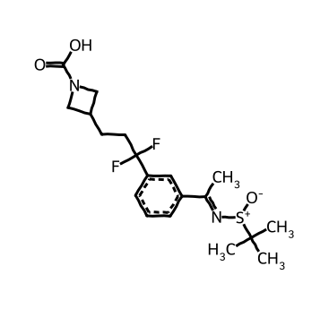 C/C(=N\[S+]([O-])C(C)(C)C)c1cccc(C(F)(F)CCC2CN(C(=O)O)C2)c1